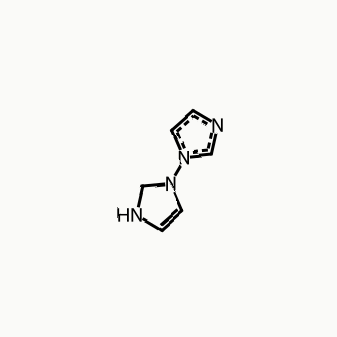 C1=CN(n2ccnc2)CN1